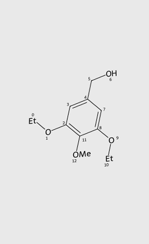 CCOc1cc(CO)cc(OCC)c1OC